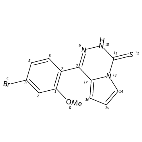 COc1cc(Br)ccc1-c1n[nH]c(=S)n2cccc12